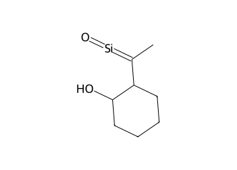 CC(=[Si]=O)C1CCCCC1O